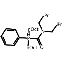 CCCCCCCC[PH](CCCCCCCC)(C(=O)N(CC(C)C)CC(C)C)c1ccccc1